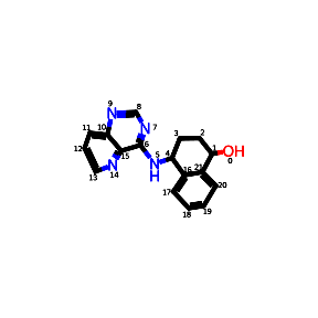 OC1CCC(Nc2ncnc3cccnc23)c2ccccc21